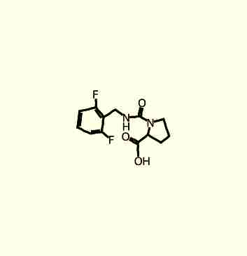 O=C(O)C1CCCN1C(=O)NCc1c(F)cccc1F